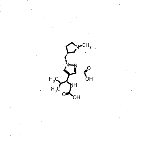 CC(C)C(NC(=O)O)c1cnn(C[C@H]2CCN(C)C2)c1.O=CO